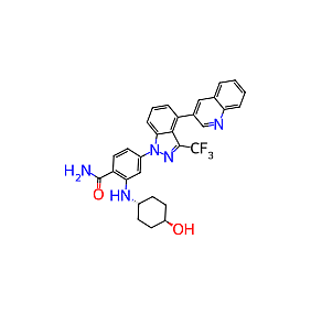 NC(=O)c1ccc(-n2nc(C(F)(F)F)c3c(-c4cnc5ccccc5c4)cccc32)cc1N[C@H]1CC[C@H](O)CC1